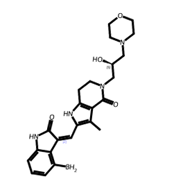 Bc1cccc2c1/C(=C/c1[nH]c3c(c1C)C(=O)N(C[C@@H](O)CN1CCOCC1)CC3)C(=O)N2